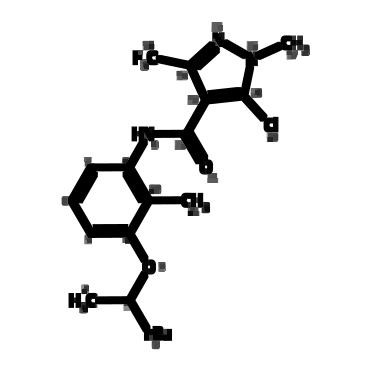 CCCCC(C)Oc1cccc(NC(=O)c2c(C(F)(F)F)nn(C)c2Cl)c1C